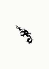 CCc1c(C(=O)NCCOC)ccc2nn(CN3CCCCC3)cc12